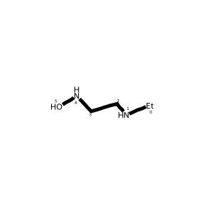 CCNCCNO